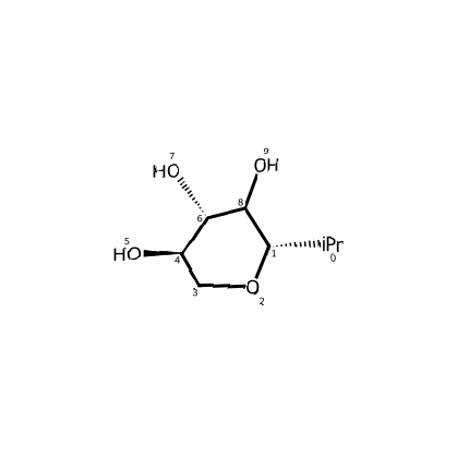 CC(C)[C@@H]1OC[C@@H](O)[C@H](O)C1O